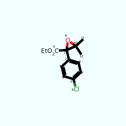 CCOC(=O)C1(c2ccc(Cl)cc2)OC1(C)C